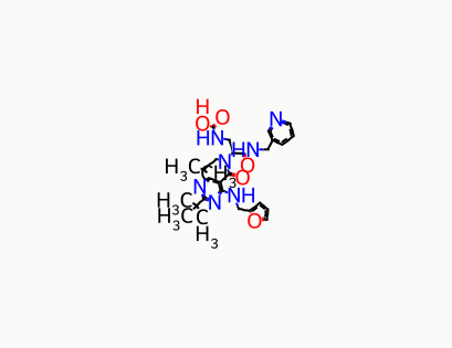 CC(C)CN(C(=O)c1cnc(C(C)(C)C)nc1NCc1ccco1)[C@@H](CNC(=O)O)C(=O)NCc1cccnc1